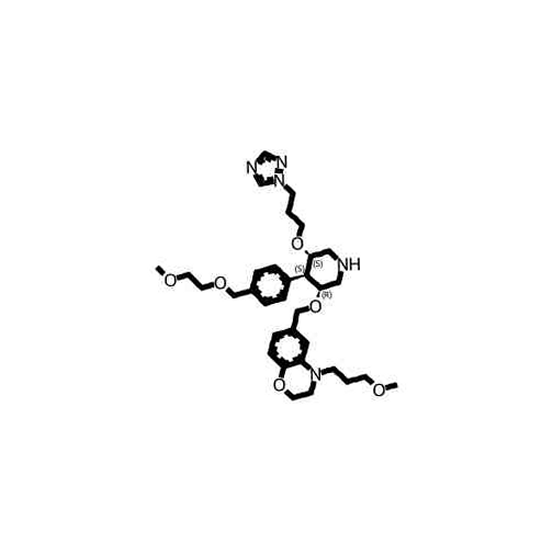 COCCCN1CCOc2ccc(CO[C@H]3CNC[C@@H](OCCCn4cncn4)[C@@H]3c3ccc(COCCOC)cc3)cc21